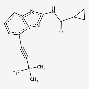 CS(C)(C)C#Cc1cccc2nc(NC(=O)C3CC3)nn12